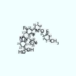 Cc1ccc(COc2cccc(-c3cc(F)c(Cc4nc5ccc(C(O)O)cc5n4Cc4cncs4)cc3F)n2)c(F)c1